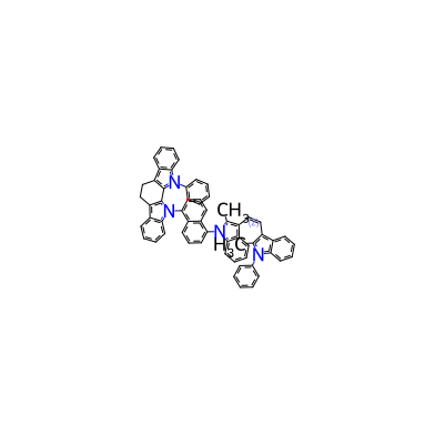 Cc1c(/C=C\c2c(C)n(-c3cccc4c(-n5c6c(c7ccccc75)CCc5c-6n(-c6ccccc6)c6ccccc56)cccc34)c3ccccc23)c2ccccc2n1-c1ccccc1